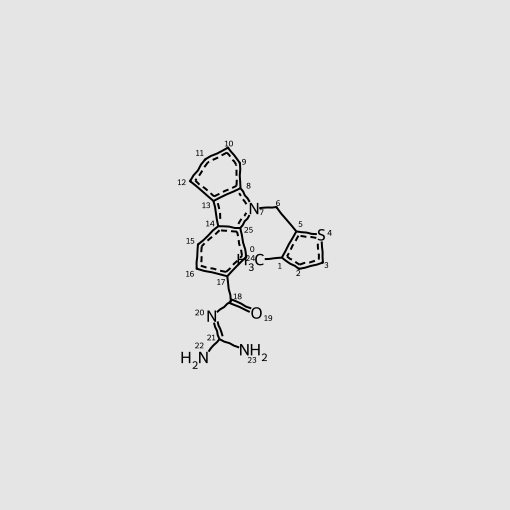 Cc1ccsc1Cn1c2ccccc2c2ccc(C(=O)N=C(N)N)cc21